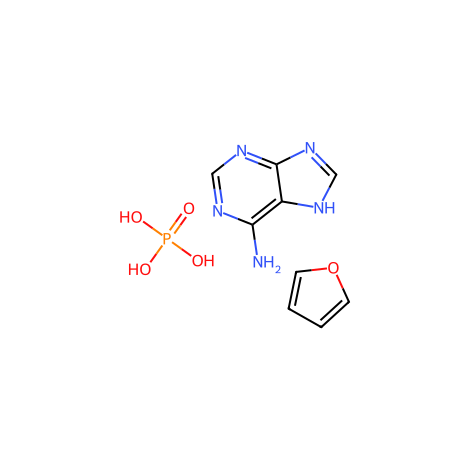 Nc1ncnc2nc[nH]c12.O=P(O)(O)O.c1ccoc1